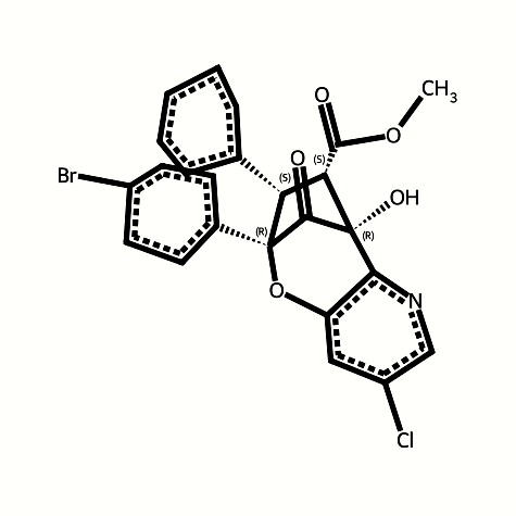 COC(=O)[C@H]1[C@@H](c2ccccc2)[C@]2(c3ccc(Br)cc3)Oc3cc(Cl)cnc3[C@@]1(O)C2=O